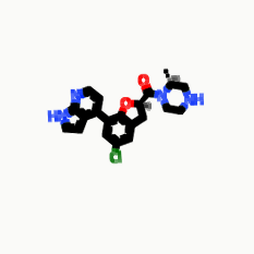 C[C@@H]1CNCCN1C(=O)[C@H]1Cc2cc(Cl)cc(-c3ccnc4[nH]ccc34)c2O1